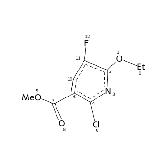 CCOc1nc(Cl)c(C(=O)OC)cc1F